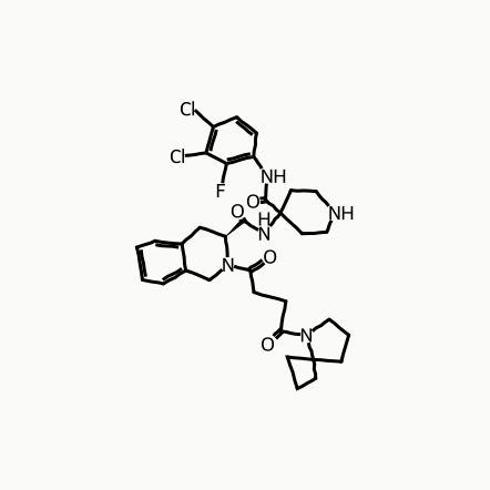 O=C(NC1(C(=O)Nc2ccc(Cl)c(Cl)c2F)CCNCC1)[C@@H]1Cc2ccccc2CN1C(=O)CCC(=O)N1CCCC12CCC2